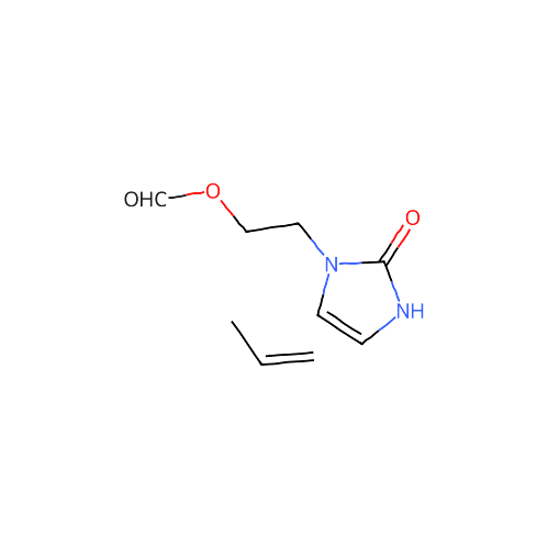 C=CC.O=COCCn1cc[nH]c1=O